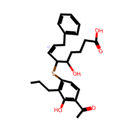 CCCc1c(SC(/C=C\Cc2ccccc2)C(O)CCCC(=O)O)ccc(C(C)=O)c1O